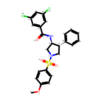 COc1ccc(S(=O)(=O)N2C[C@@H](NC(=O)c3cc(Cl)cc(Cl)c3)[C@H](c3ccccc3)C2)cc1